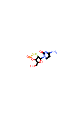 Nc1ccn(C2OC(CO)C(O[PH](=O)S)C2F)c(=O)n1